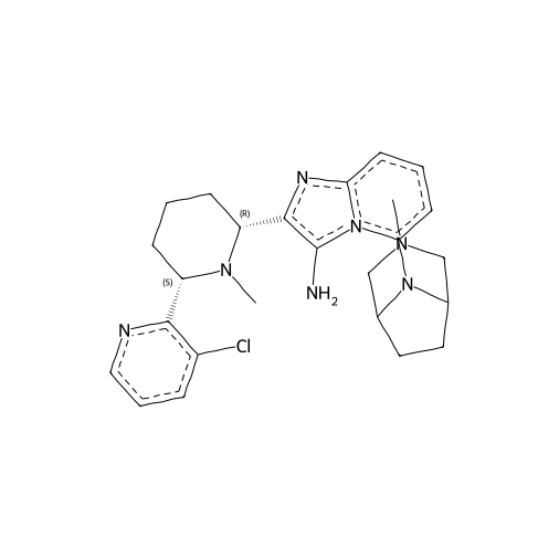 CN1CC2CCC(C1)N2c1cccc2nc([C@H]3CCC[C@@H](c4ncccc4Cl)N3C)c(N)n12